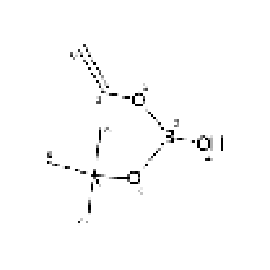 C=COB(O)OC(C)(C)C